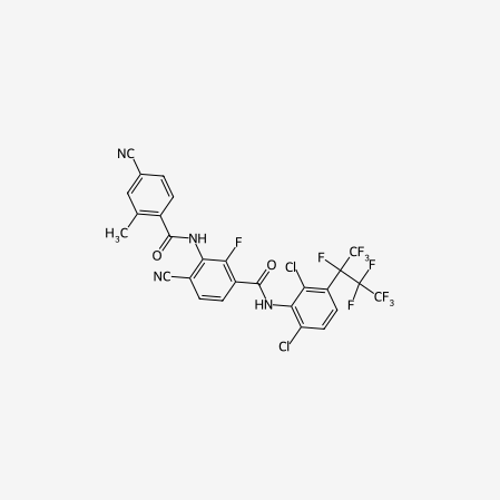 Cc1cc(C#N)ccc1C(=O)Nc1c(C#N)ccc(C(=O)Nc2c(Cl)ccc(C(F)(C(F)(F)F)C(F)(F)C(F)(F)F)c2Cl)c1F